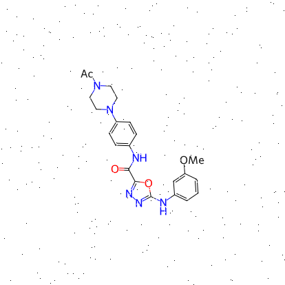 COc1cccc(Nc2nnc(C(=O)Nc3ccc(N4CCN(C(C)=O)CC4)cc3)o2)c1